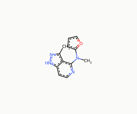 Cc1n[nH]c2ccnc(N(C)c3ccco3)c12